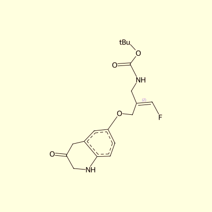 CC(C)(C)OC(=O)NC/C(=C/F)COc1ccc2c(c1)CC(=O)CN2